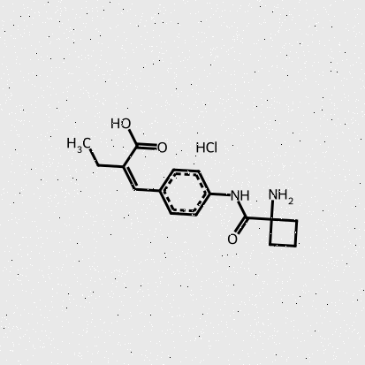 CCC(=Cc1ccc(NC(=O)C2(N)CCC2)cc1)C(=O)O.Cl